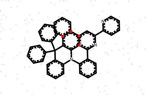 c1ccc(C2(c3ccccc3)c3ccccc3N(c3ccccc3-c3nc(-c4ccccn4)cc(-c4ccccn4)n3)c3ccccc32)cc1